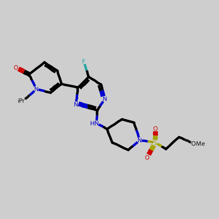 COCCS(=O)(=O)N1CCC(Nc2ncc(F)c(-c3ccc(=O)n(C(C)C)c3)n2)CC1